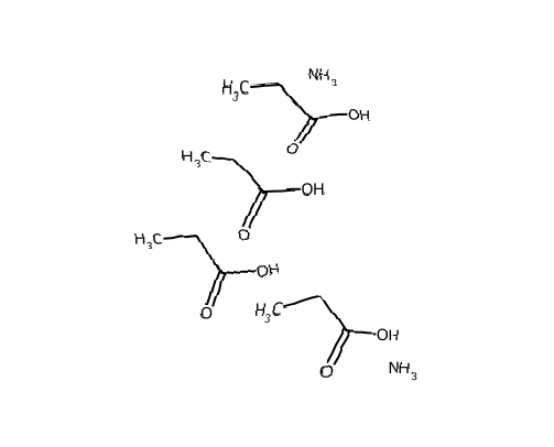 CCC(=O)O.CCC(=O)O.CCC(=O)O.CCC(=O)O.N.N